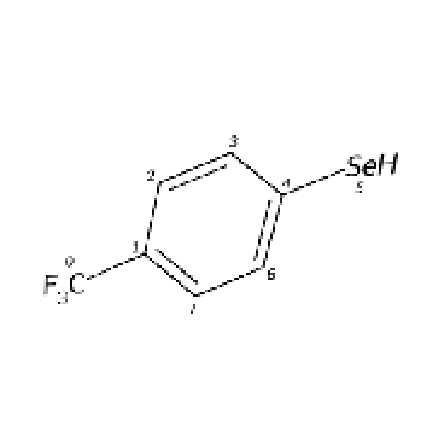 FC(F)(F)c1ccc([SeH])cc1